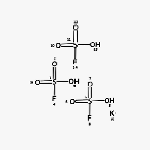 O=S(=O)(O)F.O=S(=O)(O)F.O=S(=O)(O)F.[K]